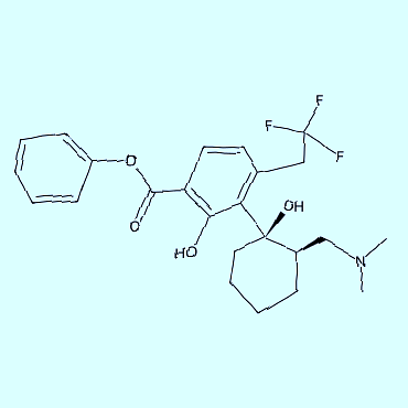 CN(C)C[C@H]1CCCC[C@]1(O)c1c(CC(F)(F)F)ccc(C(=O)Oc2ccccc2)c1O